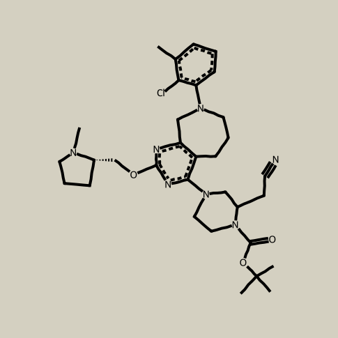 Cc1cccc(N2CCCc3c(nc(OC[C@@H]4CCCN4C)nc3N3CCN(C(=O)OC(C)(C)C)C(CC#N)C3)C2)c1Cl